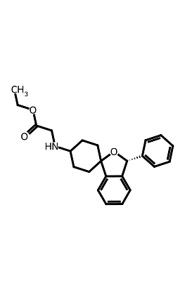 CCOC(=O)CNC1CCC2(CC1)O[C@H](c1ccccc1)c1ccccc12